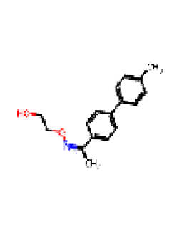 C/C(=N/OCCO)c1ccc(-c2ccc(C)cc2)cc1